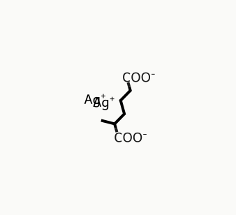 CC(CCCC(=O)[O-])C(=O)[O-].[Ag+].[Ag+]